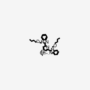 CCCCOCn1c(-c2cccc(-c3nc4ccccc4n3COCCCC)n2)nc2ccccc21.[Cl-].[Cl-].[V+2]